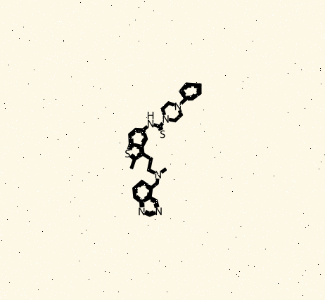 Cc1sc2ccc(NC(=S)N3CCN(c4ccccc4)CC3)cc2c1CCN(C)Cc1cccc2ncncc12